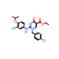 CCOC(=O)c1cn(Cc2ccc(Cl)cc2)c(Nc2ccc(OC(C)C)c(Cl)c2)nc1=O